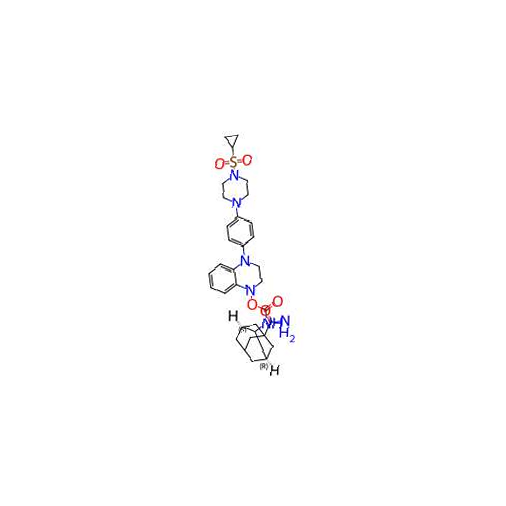 NC(=O)C12CC3C[C@H](C1)C(NC(=O)ON1CCN(c4ccc(N5CCN(S(=O)(=O)C6CC6)CC5)cc4)c4ccccc41)[C@@H](C3)C2